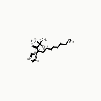 CCCCCCCCC(C(=O)C(C)(C)C)n1cncn1